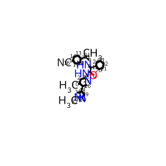 Cc1cc(NC(=O)C(NCC(C)c2ccc(C#N)cc2)c2ccccc2)ncc1-c1cnn(C)c1